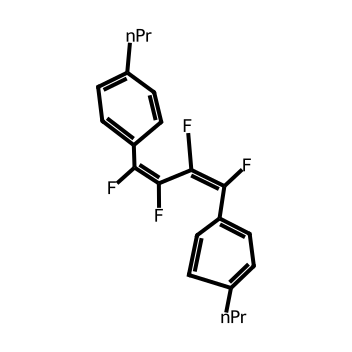 CCCc1ccc(/C(F)=C(F)\C(F)=C(\F)c2ccc(CCC)cc2)cc1